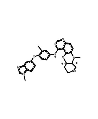 Cc1cc(Nc2ncnc3ccc4c(c23)O[C@@H]2CCNC[C@@H]2N4C)ccc1Oc1ccc2c(c1)ncn2C